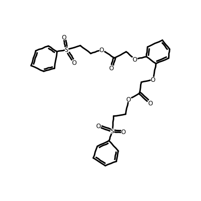 O=C(COc1ccccc1OCC(=O)OCCS(=O)(=O)c1ccccc1)OCCS(=O)(=O)c1ccccc1